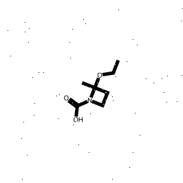 CCOC1(C)CCN1C(=O)O